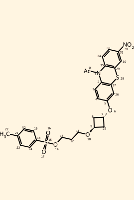 CC(=O)N1c2ccc(O[C@H]3C[C@H](OCCCOS(=O)(=O)c4ccc(C)cc4)C3)cc2Sc2cc([N+](=O)[O-])ccc21